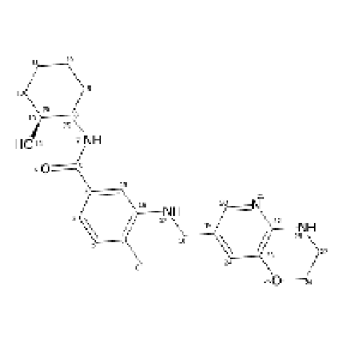 Cc1ccc(C(=O)N[C@H]2CCCC[C@@H]2O)cc1NCc1cnc2c(c1)OCCN2